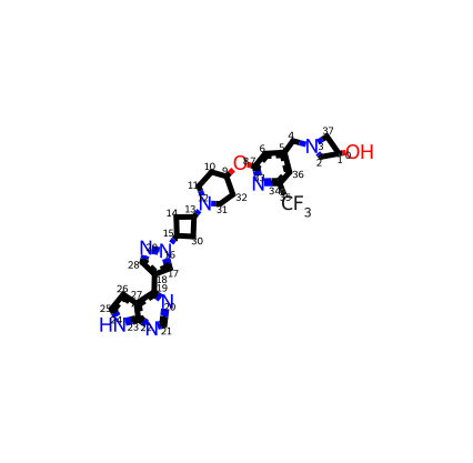 OC1CN(Cc2cc(OC3CCN(C4C[C](n5cc(-c6ncnc7[nH]ccc67)cn5)C4)CC3)nc(C(F)(F)F)c2)C1